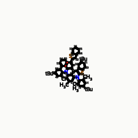 Cc1cc2c3c(c1)N(c1c(C)cc(C(C)(C)C)cc1C)c1sc4ccc(C(C)(C)C)cc4c1B3c1cc(-c3cc4ccccc4s3)ccc1N2c1c(C)cc(C(C)(C)C)cc1-c1ccccc1